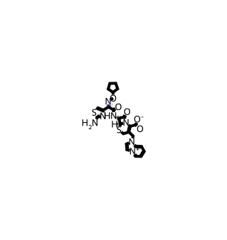 Nc1nc(/C(=N/OC2CCCC2)C(=O)N[C@@H]2C(=O)N3C(C(=O)[O-])=C(Cn4cc[n+]5ccccc45)CS[C@@H]23)cs1